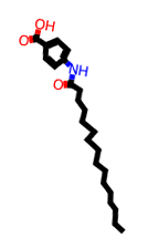 CCCCCCCCCCCCCCCC(=O)Nc1ccc(C(=O)O)cc1